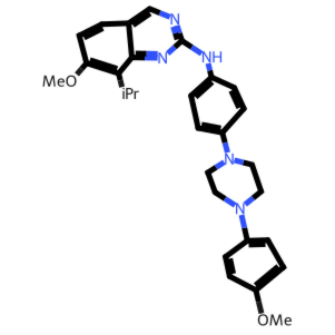 COc1ccc(N2CCN(c3ccc(Nc4ncc5ccc(OC)c(C(C)C)c5n4)cc3)CC2)cc1